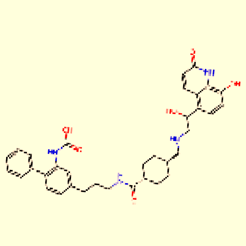 O=C(O)Nc1cc(CCCNC(=O)[C@H]2CC[C@H](CNCC(O)c3ccc(O)c4[nH]c(=O)ccc34)CC2)ccc1-c1ccccc1